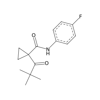 CC(C)(C)C(=O)C1(C(=O)Nc2ccc(F)cc2)CC1